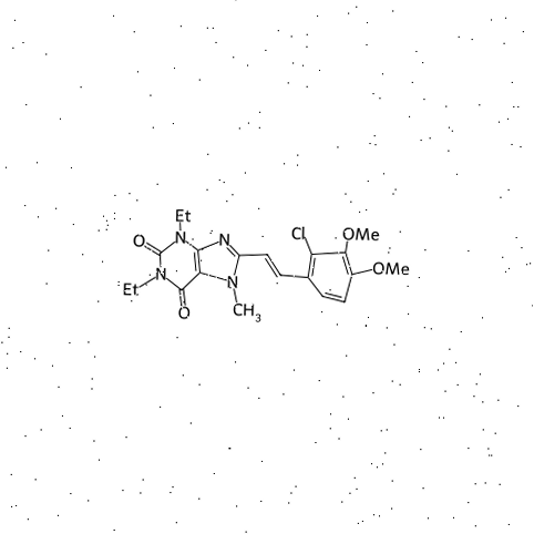 CCn1c(=O)c2c(nc(C=Cc3ccc(OC)c(OC)c3Cl)n2C)n(CC)c1=O